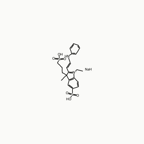 CC[N+]1=C(/C=C/Nc2ccccc2)C(C)(CCCS(=O)(=O)O)c2cc(S(=O)(=O)O)ccc21.[NaH]